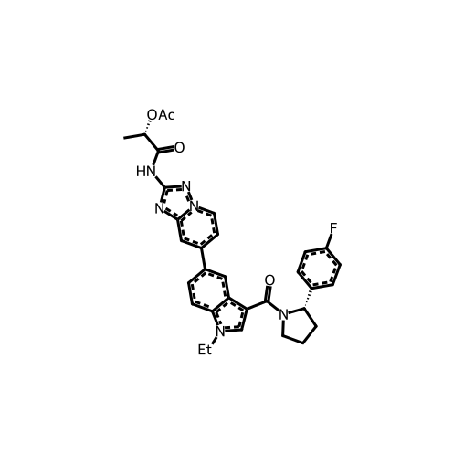 CCn1cc(C(=O)N2CCC[C@H]2c2ccc(F)cc2)c2cc(-c3ccn4nc(NC(=O)[C@H](C)OC(C)=O)nc4c3)ccc21